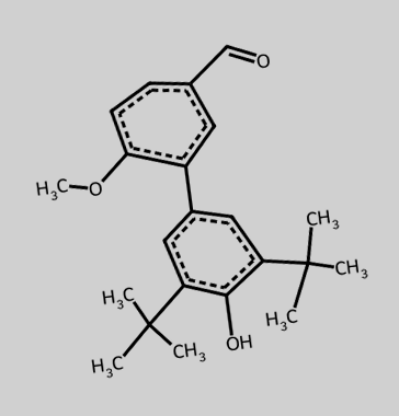 COc1ccc(C=O)cc1-c1cc(C(C)(C)C)c(O)c(C(C)(C)C)c1